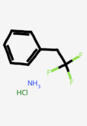 Cl.FC(F)(F)Cc1ccccc1.N